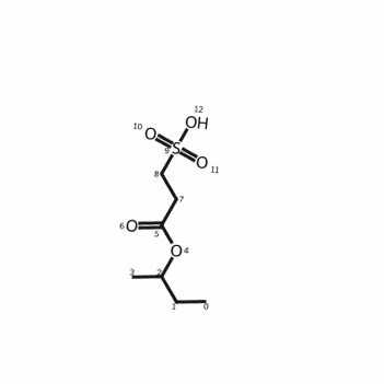 CCC(C)OC(=O)CCS(=O)(=O)O